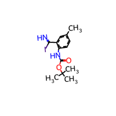 Cc1ccc(NC(=O)OC(C)(C)C)c(C(=N)I)c1